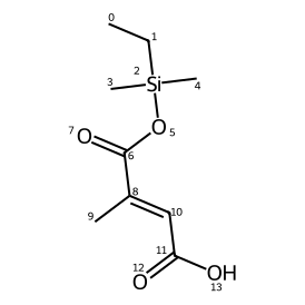 CC[Si](C)(C)OC(=O)C(C)=CC(=O)O